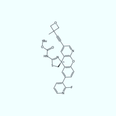 CC1(C#Cc2cnc3c(c2)[C@]2(CSC(NC(=O)OC(C)(C)C)=N2)c2cc(-c4cccnc4F)ccc2O3)COC1